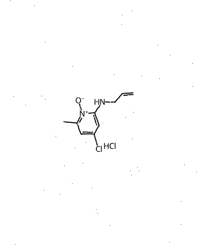 C=CCNc1cc(Cl)cc(C)[n+]1[O-].Cl